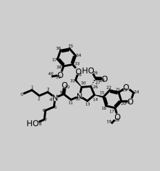 CCCCN(CCCO)C(=O)CN1C[C@H](c2cc(OC)c3c(c2)OCO3)[C@@H](C(=O)O)[C@@H]1COc1ccccc1OC